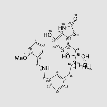 COc1ccccc1CNCc1cccc(CCNC(O)(O)Cc2ccc(O)c3[nH]c(=O)sc23)c1.Cl.Cl